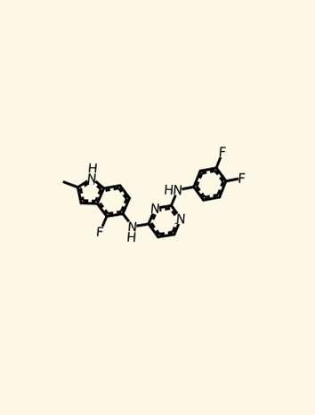 Cc1cc2c(F)c(Nc3ccnc(Nc4ccc(F)c(F)c4)n3)ccc2[nH]1